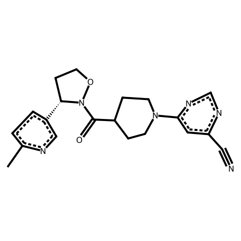 Cc1ccc([C@@H]2CCON2C(=O)C2CCN(c3cc(C#N)ncn3)CC2)cn1